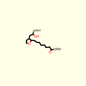 CCCCCCC(O)CC1CCOC1CCCCCCCC(=O)OC